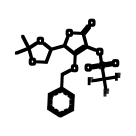 CC1(C)OCC(C2OC(=O)C(OS(=O)(=O)C(F)(F)F)=C2OCc2ccccc2)O1